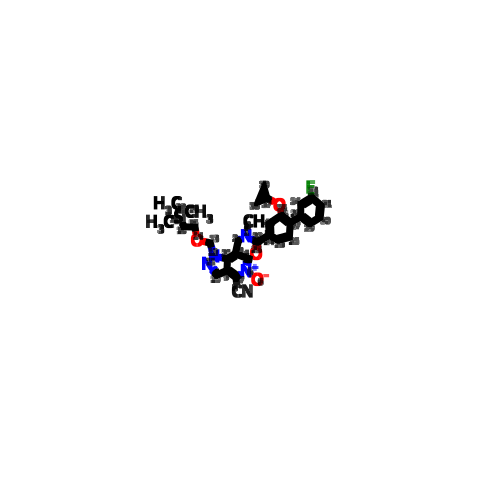 CN(Cc1c[n+]([O-])c(C#N)c2cnn(COCC[Si](C)(C)C)c12)C(=O)c1ccc(-c2cccc(F)c2)c(OC2CC2)c1